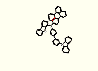 c1ccc(-c2cccc3cccc(-c4ccc(N(c5ccc(-c6cccc(-n7c8ccccc8c8ccccc87)c6)cc5)c5cccc6c5sc5ccccc56)cc4)c23)cc1